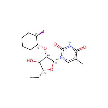 CC[C@H]1O[C@@H](n2cc(C)c(=O)[nH]c2=O)[C@@H](O[C@@H]2CCCC[C@H]2I)C1O